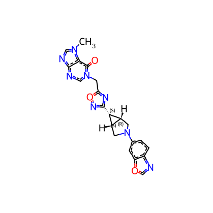 Cn1cnc2ncn(Cc3nc([C@@H]4[C@@H]5CN(c6ccc7ncoc7c6)C[C@@H]54)no3)c(=O)c21